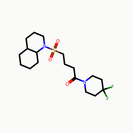 O=C(CCCS(=O)(=O)N1CCCC2CCCCC21)N1CCC(F)(F)CC1